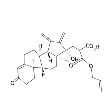 C=CCOC(=O)C(C[C@]1(O)C(=C)C(=C)[C@H]2[C@@H]3CCC4=CC(=O)CC[C@]4(C)[C@H]3CC[C@@]21C)C(=O)O